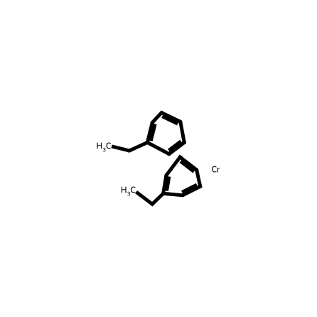 CCc1ccccc1.CCc1ccccc1.[Cr]